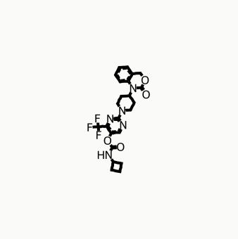 O=C(NC1CCC1)Oc1cnc(N2CCC(N3C(=O)OCc4ccccc43)CC2)nc1C(F)(F)F